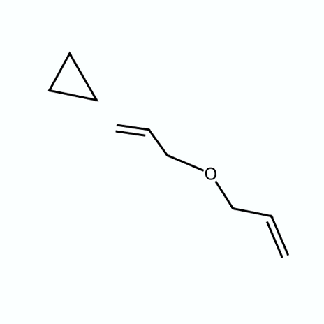 C1CC1.C=CCOCC=C